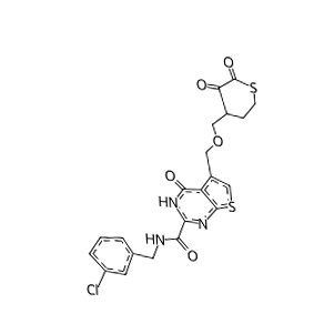 O=C1SCCC(COCc2csc3nc(C(=O)NCc4cccc(Cl)c4)[nH]c(=O)c23)C1=O